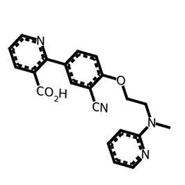 CN(CCOc1ccc(-c2ncccc2C(=O)O)cc1C#N)c1ccccn1